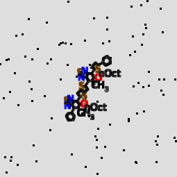 CCCCCCCCOc1c(C)c(-c2ccccc2)c2nsnc2c1-c1cc2sc(-c3c(C)c(OCCCCCCCC)c(-c4ccc(-c5ccccc5)s4)c4nsnc34)cc2s1